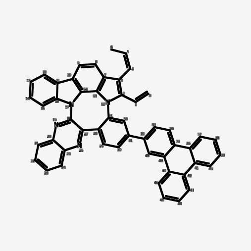 C=Cc1c(/C=C\C)c2ccc3c4ccccc4n4c5nc6ccccc6nc5c5ccc(-c6ccc7c8ccccc8c8ccccc8c7c6)cc5n1c2c34